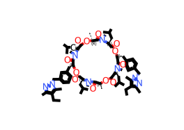 CCc1c(C)nn(Cc2ccc(C[C@H]3OC(=O)[C@H](CC(C)C)N(C)C(=O)[C@@H](C)OC(=O)[C@H](CC(C)C)N(C)C(=O)[C@@H](Cc4cccc(Cn5nc(C)c(CC)c5C)c4)OC(=O)[C@H](CC(C)C)N(C)C(=O)[C@@H](C)OC(=O)[C@H](CC(C)C)N(C)C3=O)cc2)c1C